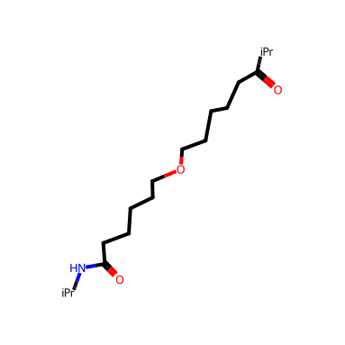 CC(C)NC(=O)CCCCCOCCCCCC(=O)C(C)C